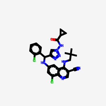 CC(C)(C)CNc1c(C#N)cnc2c(Cl)cc(NC(c3cn(NC(=O)C4CC4)nn3)c3ccccc3Cl)cc12